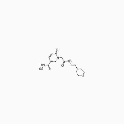 CC(C)(C)NC(=O)c1ccc(=O)n(CC(=O)NCCN2CCOCC2)c1